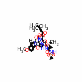 C=C[C@@H]1C[C@]1(NC(=O)[C@@H]1C[C@@H](Oc2nccc3cc(OC)ccc23)CN1C(=O)[C@H](CCC(=O)C#CC(C)(C)C)N(C(=O)O)C(C)(C)C)C(=O)NS(=O)(=O)C1CC1